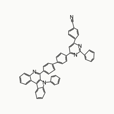 N#Cc1ccc(-c2cc(-c3ccc(-c4ccc(-c5nc6ccccc6c6c7ccccc7n(-c7ccccc7)c56)cc4)cc3)nc(-c3ccccc3)n2)cc1